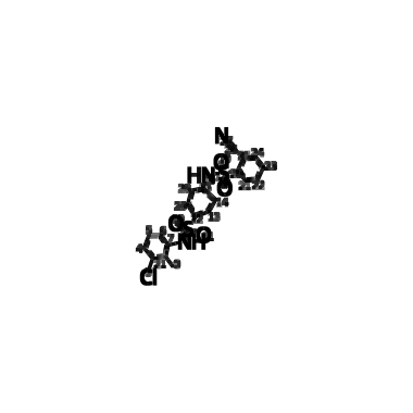 Cc1c(Cl)cccc1NS(=O)(=O)c1ccc(NS(=O)(=O)c2ccccc2C#N)cc1